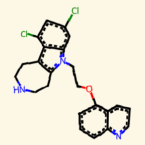 Clc1cc(Cl)c2c3c(n(CCOc4cccc5ncccc45)c2c1)CCNCC3